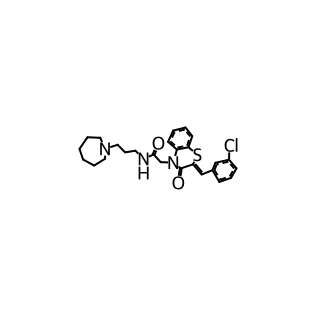 O=C(CN1C(=O)/C(=C/c2cccc(Cl)c2)Sc2ccccc21)NCCCN1CCCCCC1